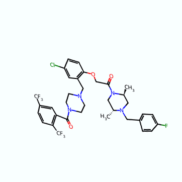 C[C@@H]1CN(C(=O)COc2ccc(Cl)cc2CN2CCN(C(=O)c3cc(C(F)(F)F)ccc3C(F)(F)F)CC2)[C@@H](C)CN1Cc1ccc(F)cc1